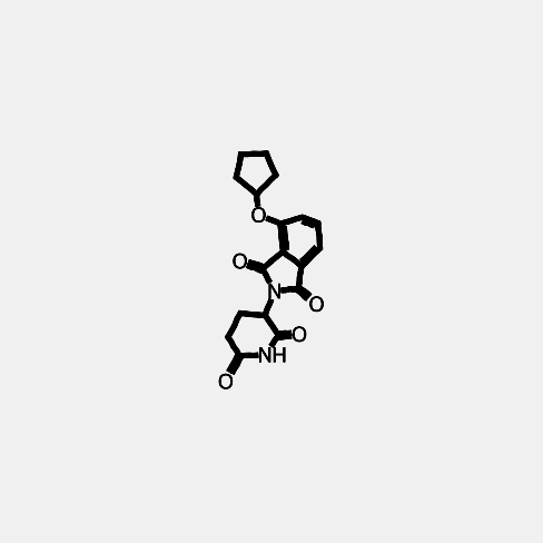 O=C1CCC(N2C(=O)c3cccc(OC4CCCC4)c3C2=O)C(=O)N1